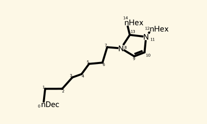 CCCCCCCCCCCCCCCCCN1C=CN(CCCCCC)C1CCCCCC